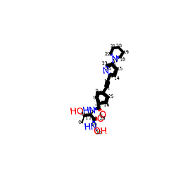 C[C@@H](O)[C@H](NC(=O)c1ccc(C#Cc2ccc(N3CCCCC3)cn2)cc1)C(=O)NO